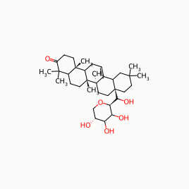 CC1(C)CC[C@]2(C(O)[C@@H]3OC[C@@H](O)C(O)C3O)CC[C@]3(C)C(=CCC4[C@@]5(C)CCC(=O)C(C)(C)C5CC[C@]43C)C2C1